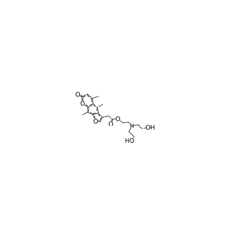 Cc1c2oc(=O)cc(C)c2c(C)c2c(CC(=O)OCCN(CCO)CCO)coc12